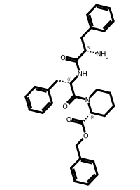 N[C@@H](Cc1ccccc1)C(=O)N[C@@H](Cc1ccccc1)C(=O)N1CCCC[C@@H]1C(=O)OCc1ccccc1